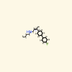 CCCCNC/C=C(/C)c1ccc(-c2ccc(F)cc2)cc1